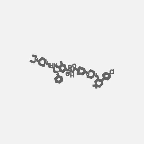 CCN(CC)C1CCN(CC[C@H](CSc2ccccc2)Nc2ccc(S(=O)(=O)NC(=O)c3ccc(N4CCN(CC5=C(c6ccc(Cl)cc6)CCC(C)(C)C5)CC4)cc3)cc2C)CC1